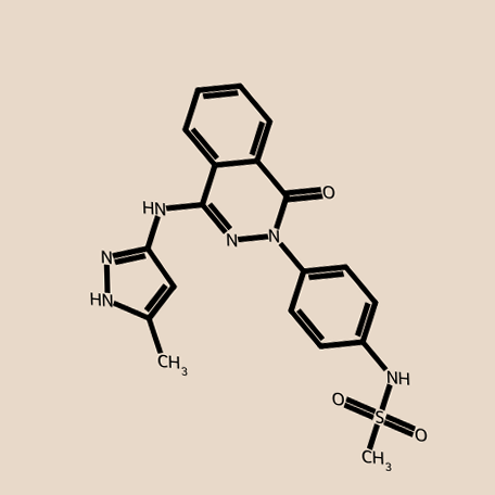 Cc1cc(Nc2nn(-c3ccc(NS(C)(=O)=O)cc3)c(=O)c3ccccc23)n[nH]1